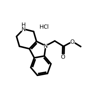 COC(=O)Cn1c2c(c3ccccc31)CCNC2.Cl